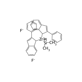 C[SiH](C)[Zr+2]([CH]1C(c2ccccc2)=Cc2ccccc21)[CH]1C(c2ccccc2)=Cc2ccccc21.[F-].[F-]